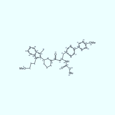 COCCCn1c(C2CCCN(C(=O)C[C@@H](Cc3ccc(-c4cnc(OC)nc4)cc3)NC(=O)OC(C)(C)C)C2)c(C)c2ccccc21